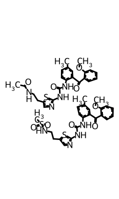 COc1ccccc1C(=O)c1cc(C)ccc1NC(=O)Nc1ncc(CCNC(C)=O)s1.COc1ccccc1C(=O)c1cc(C)ccc1NC(=O)Nc1ncc(CCNS(C)(=O)=O)s1